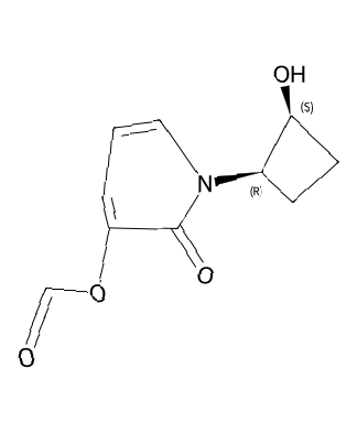 O=COc1cccn([C@@H]2CC[C@@H]2O)c1=O